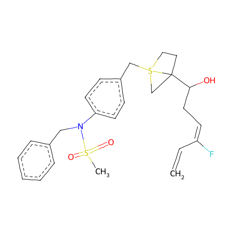 C=C/C(F)=C\CC(O)C12CCS1(Cc1ccc(N(Cc3ccccc3)S(C)(=O)=O)cc1)C2